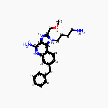 CCOCc1nc2c(N)nc3cc(Cc4ccccc4)ccc3c2n1CCCCN